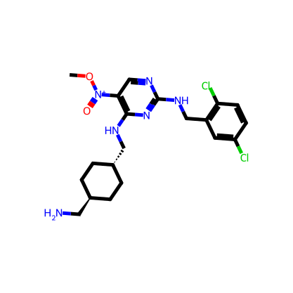 CO[N+](=O)c1cnc(NCc2cc(Cl)ccc2Cl)nc1NC[C@H]1CC[C@H](CN)CC1